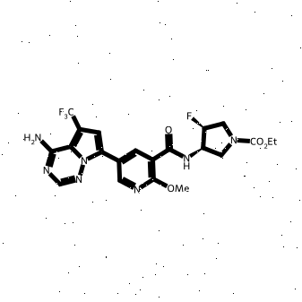 CCOC(=O)N1C[C@H](F)[C@H](NC(=O)c2cc(-c3cc(C(F)(F)F)c4c(N)ncnn34)cnc2OC)C1